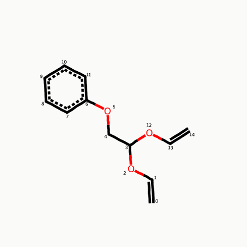 C=COC(COc1ccccc1)OC=C